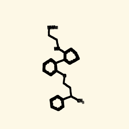 CC(=O)NCCNc1ccccc1-c1ccccc1OCCC(C)c1ccccc1